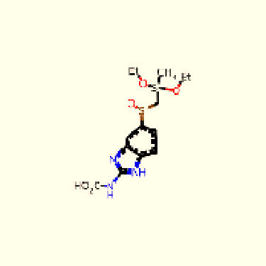 CCO[Si](C)(C[S+]([O-])c1ccc2[nH]c(NC(=O)O)nc2c1)OCC